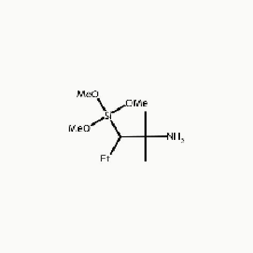 CCC(C(C)(C)N)[Si](OC)(OC)OC